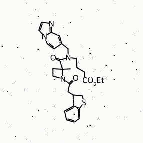 CCOC(=O)CCCN(Cc1ccn2ccnc2c1)C(=O)C1(C)CCN1C(=O)CC1CSc2ccccc21